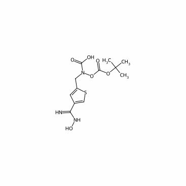 CC(C)(C)OC(=O)ON(Cc1cc(C(=N)NO)cs1)C(=O)O